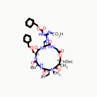 CCCCCCCCCC[C@H]1OC(=O)CNC(=O)[C@H](CN/C(=N\C(=O)O)NC(=O)OCc2ccccc2)NC(=O)[C@H](COCc2ccccc2)NC(=O)[C@H](C(C)CC)NC(=O)[C@H](CC(C)C)N(C)C(=O)[C@@H]1C